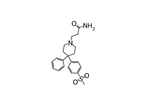 CS(=O)(=O)c1ccc(C2(c3ccccc3)CCN(CCC(N)=O)CC2)cc1